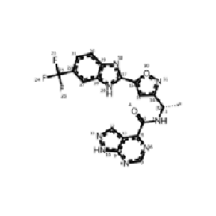 C[C@H](NC(=O)c1ncnc2[nH]ncc12)c1cc(-c2nc3ccc(C(F)(F)F)cc3[nH]2)on1